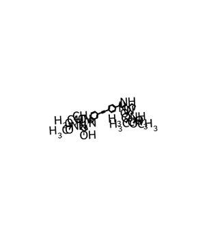 COC(=O)N[C@H](C(=O)N1C[C@H](O)C[C@H]1c1nc2cc(C#Cc3ccc(-c4c[nH]c([C@@H]5CCCN5C(=O)[C@@H](NC(=O)OC)C(C)(C)C)n4)cc3)ccc2[nH]1)C(C)C